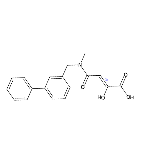 CN(Cc1cccc(-c2ccccc2)c1)C(=O)/C=C(\O)C(=O)O